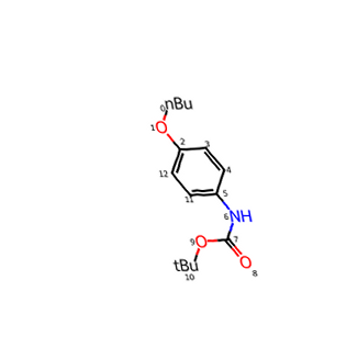 CCCCOc1ccc(NC(=O)OC(C)(C)C)cc1